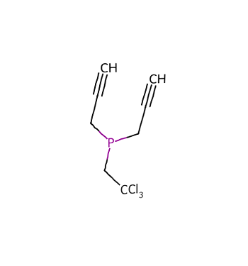 C#CCP(CC#C)CC(Cl)(Cl)Cl